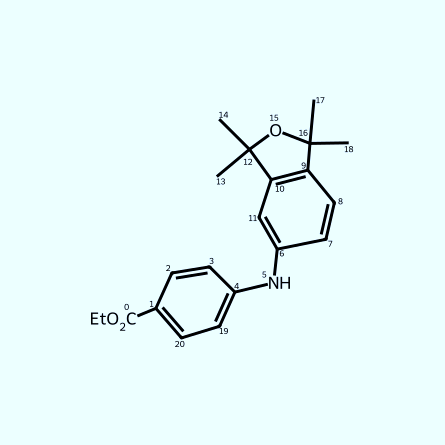 CCOC(=O)c1ccc(Nc2ccc3c(c2)C(C)(C)OC3(C)C)cc1